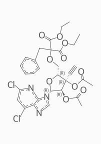 C#C[C@@]1(OC(C)=O)[C@@H](COC(Cc2ccccc2)(C(=O)OCC)C(=O)OCC)O[C@@H](n2cnc3c(Cl)cc(Cl)nc32)[C@@H]1OC(C)=O